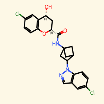 O=C(NC12CC(C1)C(n1ncc3cc(Cl)ccc31)C2)[C@H]1C[C@@H](O)c2cc(Cl)ccc2O1